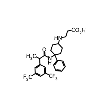 CC(C(=O)NC1(c2ccccc2)CCC(NCCC(=O)O)CC1)c1cc(C(F)(F)F)cc(C(F)(F)F)c1